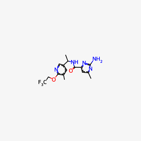 Cc1cc(C(=O)NC(C)c2cnc(OCC(F)(F)F)c(C)c2)nc(N)n1